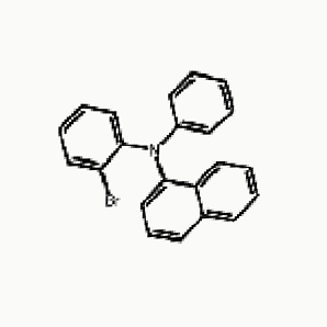 Brc1ccccc1N(c1ccccc1)c1cccc2ccccc12